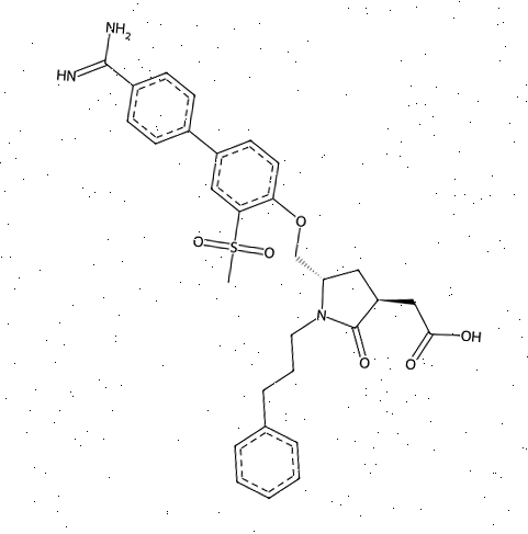 CS(=O)(=O)c1cc(-c2ccc(C(=N)N)cc2)ccc1OC[C@@H]1C[C@@H](CC(=O)O)C(=O)N1CCCc1ccccc1